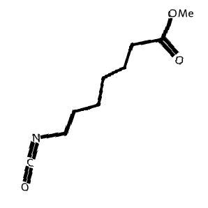 COC(=O)CCCCCCN=C=O